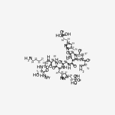 CC(C)NC(=O)[C@H](CO)NC(=O)[C@H](CCCCN)NC(=O)[C@H](C)NC(=O)[C@H](Cc1cn(CCP(=O)(O)O)nn1)NC(=O)[C@H](C)NC(=O)[C@H](C)NC(=O)[C@H](Cc1cn(CCP(=O)(O)O)nn1)NC(=O)[C@H](C)NC(=O)[C@H](C)N